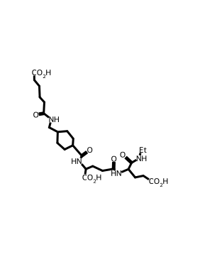 CCNC(=O)C(CCC(=O)O)NC(=O)CCC(NC(=O)C1CCC(CNC(=O)CCCCC(=O)O)CC1)C(=O)O